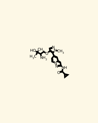 Cn1ncc(OCC(N)C(C)(C)O)c1-c1ccn2nc(NC(=O)C3CC3)cc2c1